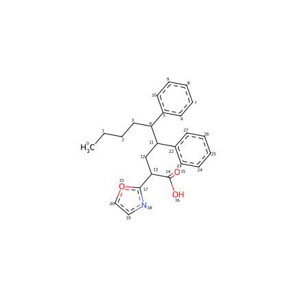 CCCCC(c1ccccc1)C(CC(C(=O)O)c1ncco1)c1ccccc1